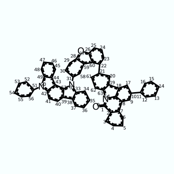 O=c1c2ccccc2c2cc(-c3ccccc3)cc3c4cc(-c5cccc6oc7ccc(-n8c9ccccc9c9ccc%10c(c%11ccccc%11n%10-c%10ccccc%10)c98)cc7c56)ccc4n1c23